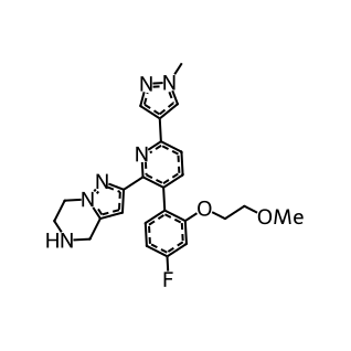 COCCOc1cc(F)ccc1-c1ccc(-c2cnn(C)c2)nc1-c1cc2n(n1)CCNC2